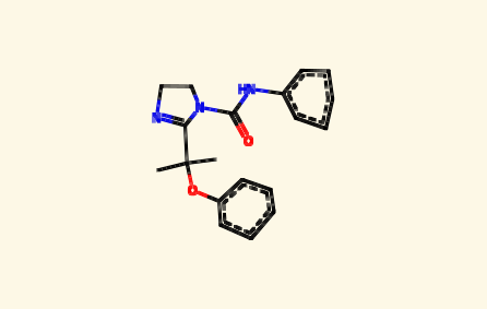 CC(C)(Oc1ccccc1)C1=NCCN1C(=O)Nc1ccccc1